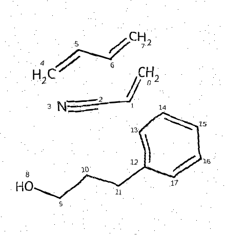 C=CC#N.C=CC=C.OCCCc1ccccc1